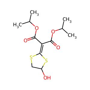 CC(C)OC(=O)C(C(=O)OC(C)C)=C1SCC(O)S1